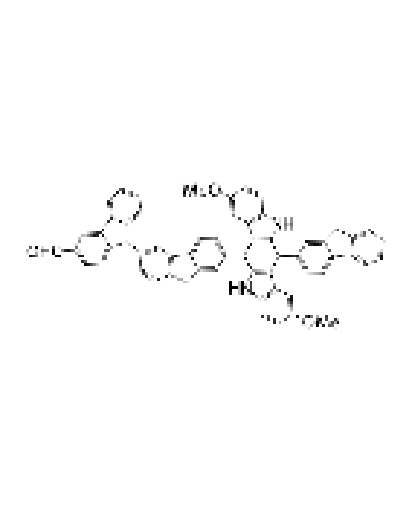 COc1ccc2[nH]c3c(c2c1)C(c1ccc2c(c1)Cc1ccccc1-2)c1[nH]c2ccc(OC)cc2c1C3c1ccc2c(c1)Cc1ccc(C3c4ccccc4-c4cc(C=O)ccc43)cc1-2